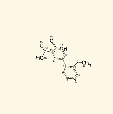 CCc1cnccc1-c1c[nH]c(=O)c(C(=O)O)c1